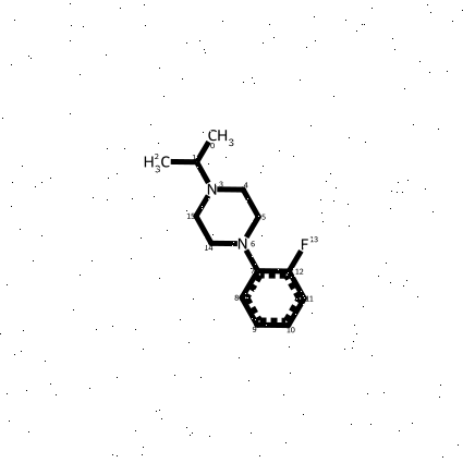 CC(C)N1CCN(c2ccccc2F)CC1